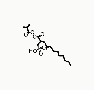 C=C(C)C(=O)OOC(=O)C(CCCCCCCCCC)CP(=O)(O)O